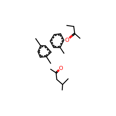 CC(=O)CC(C)C.CCC(C)=O.Cc1ccc(C)cc1.Cc1ccccc1